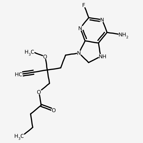 C#CC(CCN1CNc2c(N)nc(F)nc21)(COC(=O)CCC)OC